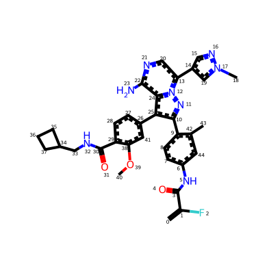 C=C(F)C(=O)Nc1ccc(-c2nn3c(-c4cnn(C)c4)cnc(N)c3c2-c2ccc(C(=O)NCC3CCC3)c(OC)c2)c(C)c1